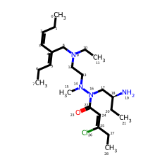 CC/C=C\C(=C/CC)CN(CC)CCN(C)N(C[C@@H](N)CC)C(=O)/C=C(\Cl)CC